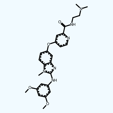 COc1cc(Nc2nc3cc(Oc4ccnc(C(=O)NCCN(C)C)c4)ccc3n2C)cc(OC)c1